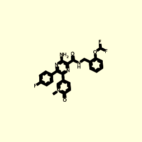 Cn1cc(-c2nc(C(=O)NCc3ccccc3OC(F)F)c(N)nc2-c2ccc(F)cc2)ccc1=O